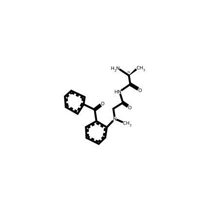 C[C@H](N)C(=O)NC(=O)CN(C)c1ccccc1C(=O)c1ccccc1